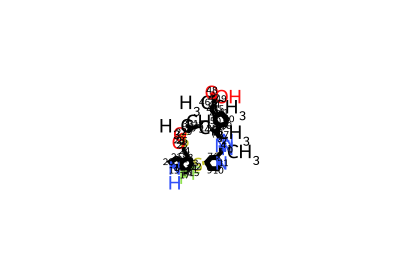 Cn1nc2nc1-c1cc(ccn1)Sc1c(F)c(F)c3[nH]ccc3c1CCS(=O)(=O)CC(C)(C)CCC[C@]2(C)c1cccc(CC(C)(C)C(=O)O)c1